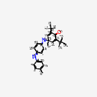 Cc1ccc(N=C2C=CC(=NC3(C)C=C(C(C)(C)C)C(=O)C(C(C)(C)C)=C3)C=C2)cc1